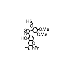 C=C(C)[C@H]1Cc2c(ccc(C3=NOCC3c3cc(OC)c(OC)cc3OCS)c2O)OC1CCC